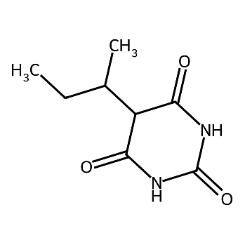 CCC(C)C1C(=O)NC(=O)NC1=O